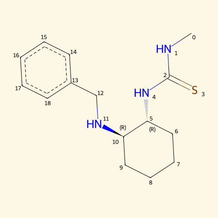 CNC(=S)N[C@@H]1CCCC[C@H]1NCc1ccccc1